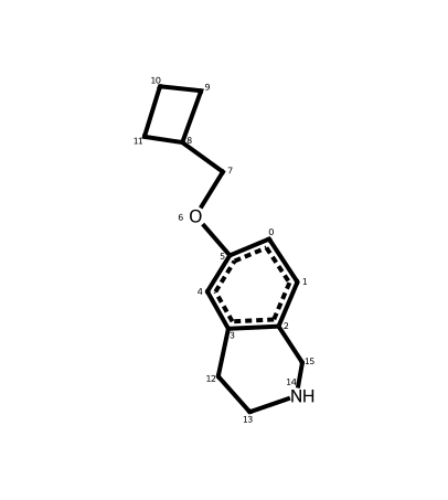 c1cc2c(cc1OCC1CCC1)CCNC2